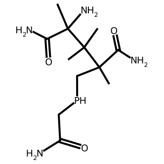 CC(N)(C(N)=O)C(C)(C)C(C)(CPCC(N)=O)C(N)=O